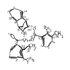 Cc1cccc(C(=O)O[C@@H]2C3CC(c4ccccc43)[C@@H]2OC(O)c2cccc(C)c2C)c1C